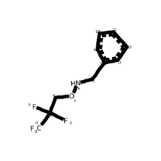 FC(F)(F)C(F)(F)CONCc1ccccc1